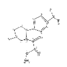 CC1CCC(c2ccc(C(F)F)cc2)N(C(=O)C(=O)ON)C1